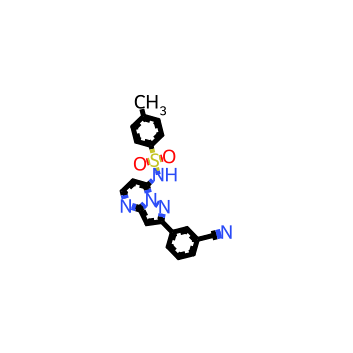 Cc1ccc(S(=O)(=O)Nc2ccnc3cc(-c4cccc(C#N)c4)nn23)cc1